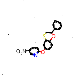 O=[N+]([O-])c1ccc(Oc2ccc3c(c2)SCC(c2ccccc2)O3)nc1